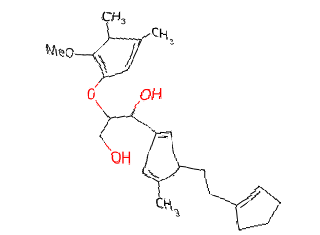 COC1=C(OC(CO)C(O)C2=CC(CCC3=CCCC3)C(C)=C2)C=C(C)C1C